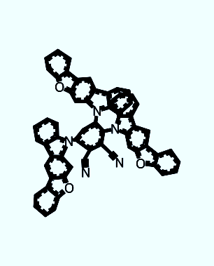 N#Cc1c(-n2c3ccccc3c3cc4c(cc32)oc2ccccc24)cc(-n2c3ccccc3c3cc4c(cc32)oc2ccccc24)c(-n2c3ccccc3c3cc4c(cc32)oc2ccccc24)c1C#N